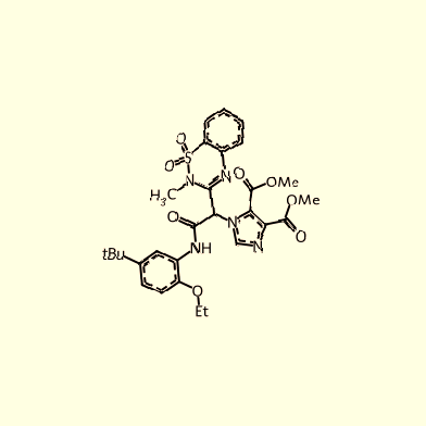 CCOc1ccc(C(C)(C)C)cc1NC(=O)C(C1=Nc2ccccc2S(=O)(=O)N1C)n1cnc(C(=O)OC)c1C(=O)OC